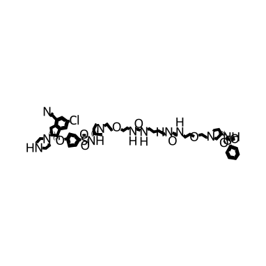 N#Cc1cc(Cl)cc2c1C[C@H](N1CCNCC1)[C@H]2Oc1ccc(S(=O)(=O)N[C@@H]2CCN(CCOCCNC(=O)NCCCCNC(=O)NCCOCCN3CC[C@@H](NS(=O)(=O)c4ccccc4)C3)C2)cc1